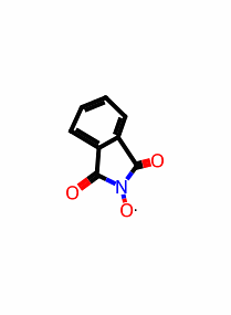 [O]N1C(=O)c2ccccc2C1=O